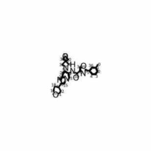 Cc1cccc(-c2nc(C(=O)Nc3cn4cc(C5CCOCC5)nc4cc3N3CC4(COC4)C3)co2)c1